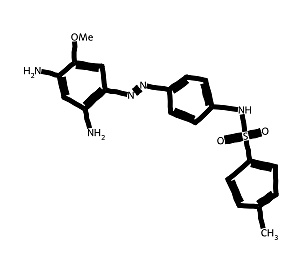 COc1cc(/N=N/c2ccc(NS(=O)(=O)c3ccc(C)cc3)cc2)c(N)cc1N